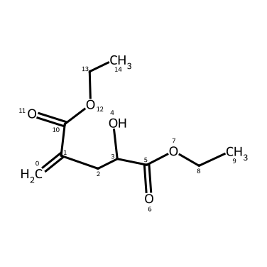 C=C(CC(O)C(=O)OCC)C(=O)OCC